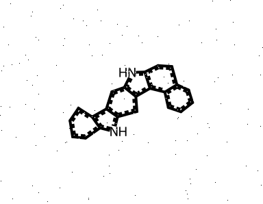 c1ccc2c(c1)ccc1[nH]c3cc4c(cc3c12)[nH]c1ccccc14